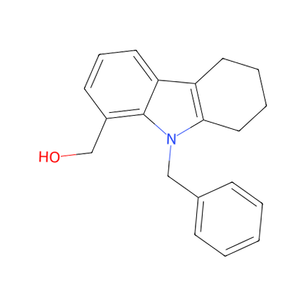 OCc1cccc2c3c(n(Cc4ccccc4)c12)CCCC3